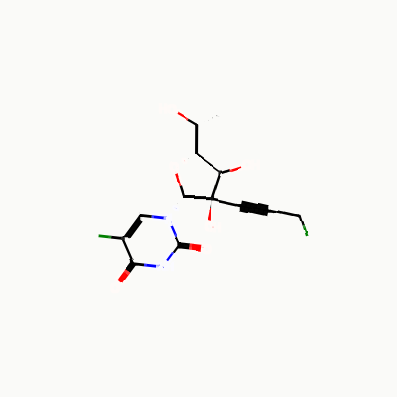 C[C@@H](O)[C@H]1O[C@@H](n2cc(F)c(=O)[nH]c2=O)[C@@](O)(C#CCF)C1O